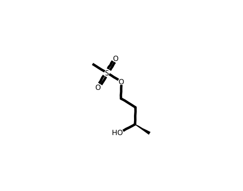 C[C@@H](O)CCOS(C)(=O)=O